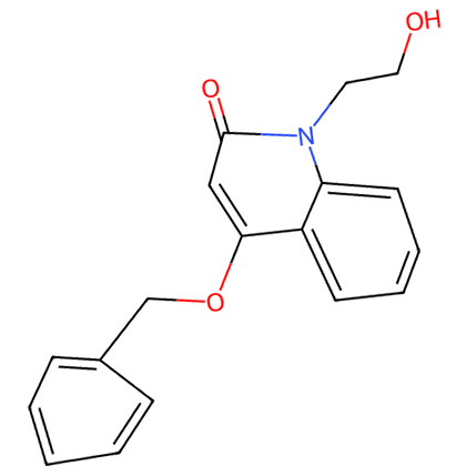 O=c1cc(OCc2ccccc2)c2ccccc2n1CCO